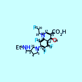 CCNCC1CCN(c2c(F)c(F)c3c(=O)c(C(=O)O)cn(CCF)c3c2F)C1